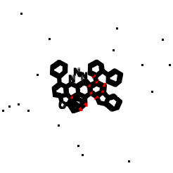 Cc1cc2c(c(-c3ccccc3-c3c(-c4ccccc4-c4ccccc4-c4ccccc4)nnnc3-c3c(-c4ccccc4)ccc4oc5ccccc5c34)c1C)Cc1ccccc1-2